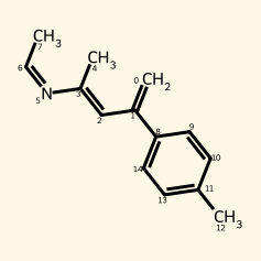 C=C(/C=C(C)/N=C\C)c1ccc(C)cc1